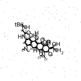 CN(C)c1cc(NC(=O)CNC(C)(C)C)c(O)c2c1C[C@H]1C[C@H]3[C@H](N(C)C)C(=O)/C(=C(\N)O)C(=O)[C@@]3(O)C(=O)C1=C2O